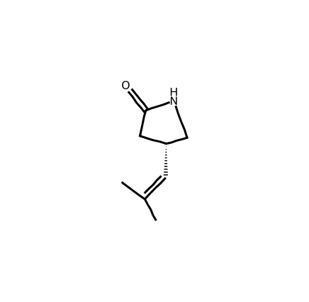 CC(C)=C[C@H]1CNC(=O)C1